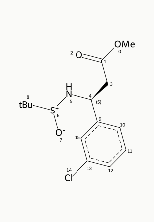 COC(=O)C[C@H](N[S+]([O-])C(C)(C)C)c1cccc(Cl)c1